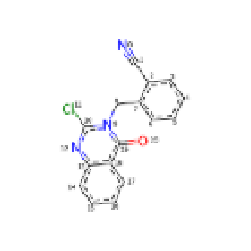 N#Cc1ccccc1Cn1c(Cl)nc2ccccc2c1=O